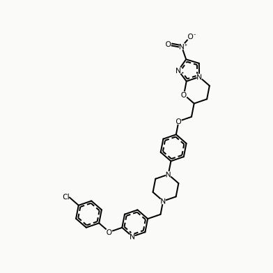 O=[N+]([O-])c1cn2c(n1)OC(COc1ccc(N3CCN(Cc4ccc(Oc5ccc(Cl)cc5)nc4)CC3)cc1)CC2